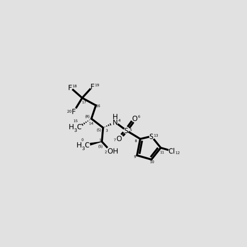 C[C@H](O)[C@@H](NS(=O)(=O)c1ccc(Cl)s1)[C@H](C)CC(F)(F)F